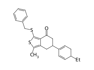 CCC1C=CC(C2CC(=O)c3c(SCc4ccccc4)sc(C)c3C2)=CC1